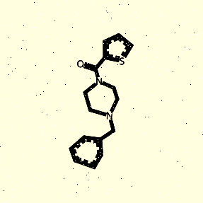 O=C(c1cccs1)N1CCN(Cc2ccccc2)CC1